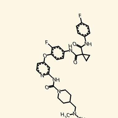 CN(C)CC1CCN(C(=O)Nc2cc(Oc3ccc(NC(=O)C4(C(=O)Nc5ccc(F)cc5)CC4)cc3F)ccn2)CC1